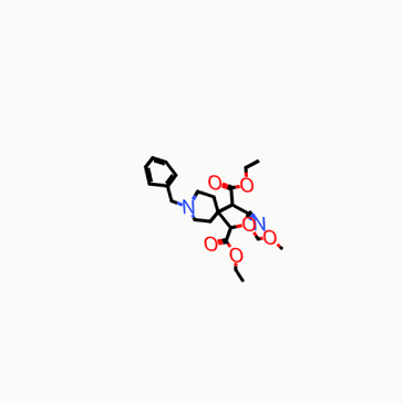 CCOC(=O)C(C#N)C1(C(OCOC)C(=O)OCC)CCN(Cc2ccccc2)CC1